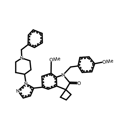 COc1ccc(CN2C(=O)C3(CCC3)c3cc(-c4ccnn4C4CCN(Cc5ccccc5)CC4)cc(OC)c32)cc1